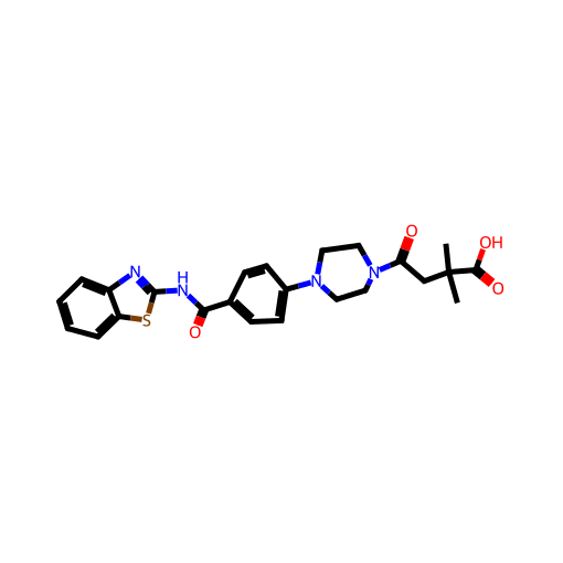 CC(C)(CC(=O)N1CCN(c2ccc(C(=O)Nc3nc4ccccc4s3)cc2)CC1)C(=O)O